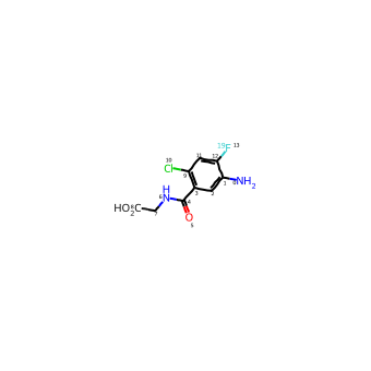 Nc1cc(C(=O)NCC(=O)O)c(Cl)cc1[19F]